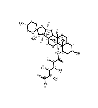 C[C@@H]1CC[C@@]2(OC1)O[C@H]1C[C@H]3[C@@H]4CC=C5C[C@@H](O)C[C@@H](OC(=O)[C@H](O)[C@@H](O)[C@H](O)[C@H](O)C(=O)O)[C@]5(C)[C@H]4CC[C@]3(C)[C@H]1[C@@H]2C